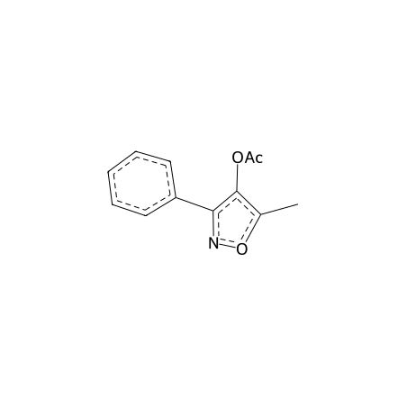 CC(=O)Oc1c(-c2ccccc2)noc1C